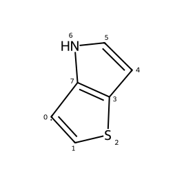 [c]1csc2cc[nH]c12